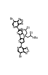 CCCCC(CC)C[Si]1(CC(CC)CCCC)c2cc(-c3ncc(Br)c4nsnc34)sc2-c2sc(-c3ncc(Br)c4nsnc34)cc21